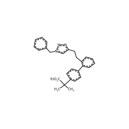 CCOC(=O)C(C)(C)c1ccc(-c2ccccc2CCc2cn(Cc3ccccc3)nn2)cc1